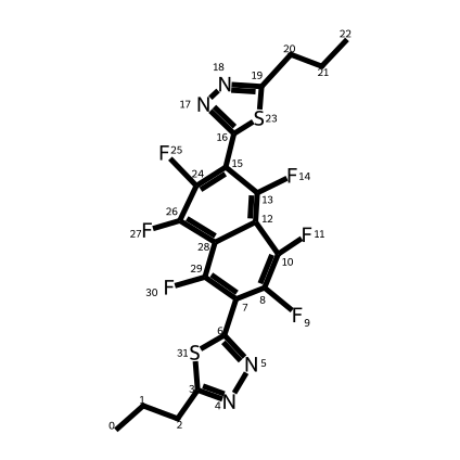 CCCc1nnc(-c2c(F)c(F)c3c(F)c(-c4nnc(CCC)s4)c(F)c(F)c3c2F)s1